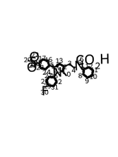 Cc1c(CCN(C(=O)O)c2ccccc2)cc(-c2ccc(S(C)(=O)=O)cc2)n1-c1ccc(F)cc1